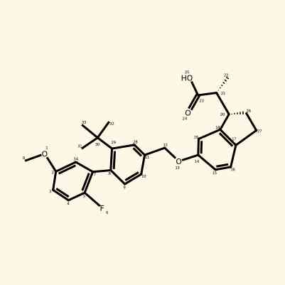 COc1ccc(F)c(-c2ccc(COc3ccc4c(c3)[C@H]([C@@H](C)C(=O)O)CC4)cc2C(C)(C)C)c1